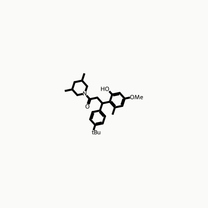 COc1cc(C)c(C(CC(=O)N2CC(C)CC(C)C2)c2ccc(C(C)(C)C)cc2)c(O)c1